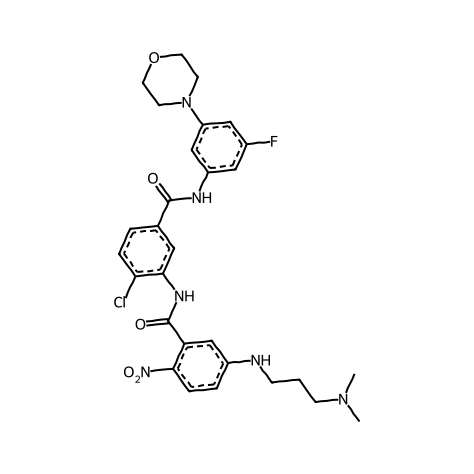 CN(C)CCCNc1ccc([N+](=O)[O-])c(C(=O)Nc2cc(C(=O)Nc3cc(F)cc(N4CCOCC4)c3)ccc2Cl)c1